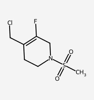 CS(=O)(=O)N1CCC(CCl)=C(F)C1